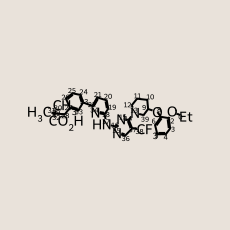 CCOc1ccccc1OC1CCCN(c2nc(Nc3cccc(-c4cccc(CC(C)(C)C(=O)O)c4)n3)ncc2C(F)(F)F)C1